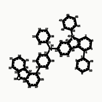 c1ccc(-c2cccc3c2c2ccc(N(c4ccccc4)c4ccc(-c5cccc6oc7ccccc7c56)cc4)cc2n3-c2ccccc2)cc1